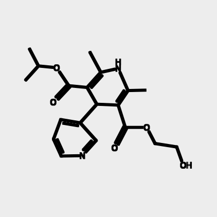 CC1=C(C(=O)OCCO)C(c2cccnc2)C(C(=O)OC(C)C)=C(C)N1